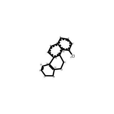 Clc1cccc2ccc3c(c12)CCC1=C3C=CCC1